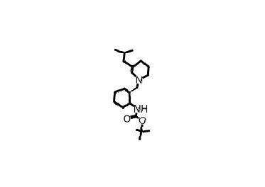 CC(C)CC1CCCN(C[C@@H]2CCCCC2NC(=O)OC(C)(C)C)C1